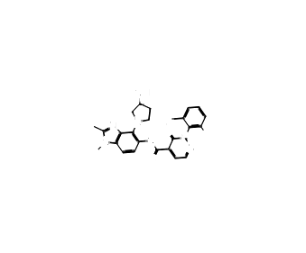 Cc1nc2c(N3CC[C@H](N)C3)c(NC(=O)c3ccnn(-c4c(Cl)cccc4Cl)c3=O)ccc2n1C